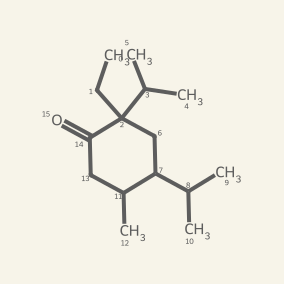 CCC1(C(C)C)CC(C(C)C)C(C)CC1=O